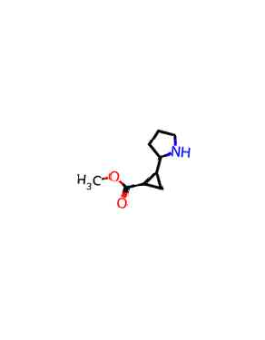 COC(=O)C1CC1C1CCCN1